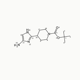 CC(C)(C)OC(=O)N1CCC(c2nc(N)c[nH]2)CC1